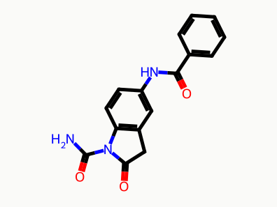 NC(=O)N1C(=O)Cc2cc(NC(=O)c3ccccc3)ccc21